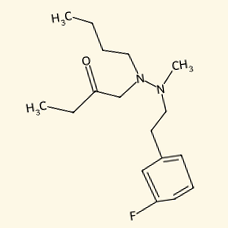 CCCCN(CC(=O)CC)N(C)CCc1cccc(F)c1